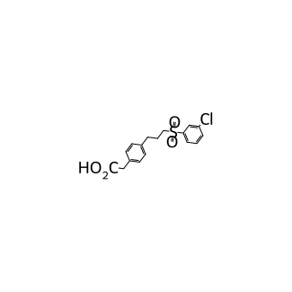 O=C(O)Cc1ccc(CCCS(=O)(=O)c2cccc(Cl)c2)cc1